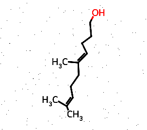 CC(C)=CCC/C(C)=C/CCCO